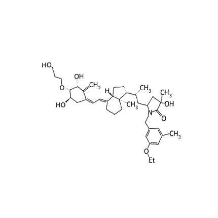 C=C1/C(=C\C=C2/CCC[C@]3(C)[C@@H]([C@H](C)CC4CC(C)(O)C(=O)N4Cc4cc(C)cc(OCC)c4)CC[C@@H]23)C[C@@H](O)[C@H](OCCCO)[C@@H]1O